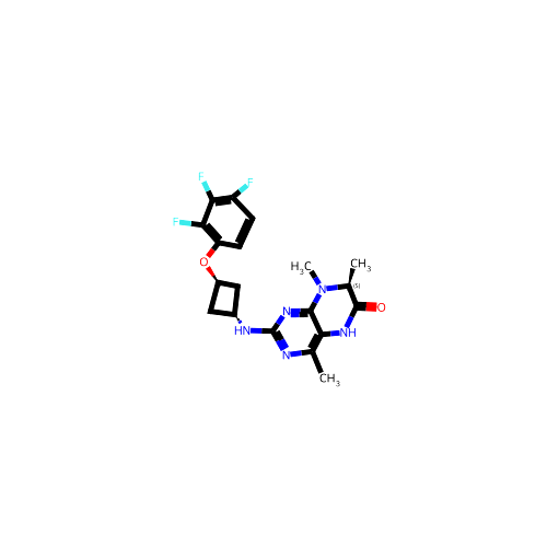 Cc1nc(N[C@H]2C[C@H](Oc3ccc(F)c(F)c3F)C2)nc2c1NC(=O)[C@H](C)N2C